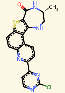 C[C@@H]1CNc2c(sc3ccc4nc(-c5ccnc(Cl)n5)ccc4c23)C(=O)N1